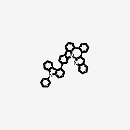 c1ccc(-n2c3ccccc3c3c(-c4ccc5c6cccc7c6n(c5c4)-c4nc5ccccc5cc4-c4ccccc4-7)cccc32)cc1